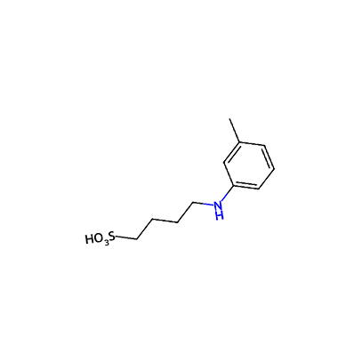 Cc1cccc(NCCCCS(=O)(=O)O)c1